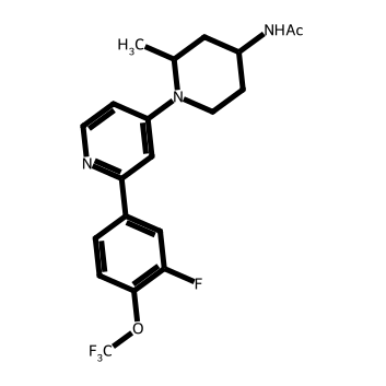 CC(=O)NC1CCN(c2ccnc(-c3ccc(OC(F)(F)F)c(F)c3)c2)C(C)C1